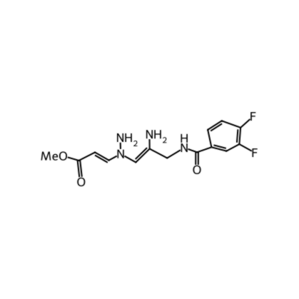 COC(=O)/C=C/N(N)/C=C(\N)CNC(=O)c1ccc(F)c(F)c1